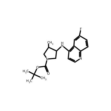 CC1CN(C(=O)OC(C)(C)C)CC1Nc1ccnc2ccc(F)cc12